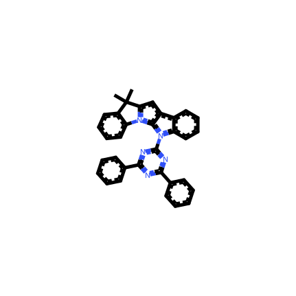 CC1(C)c2ccccc2-n2c1cc1c3ccccc3n(-c3nc(-c4ccccc4)nc(-c4ccccc4)n3)c12